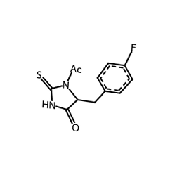 CC(=O)N1C(=S)NC(=O)C1Cc1ccc(F)cc1